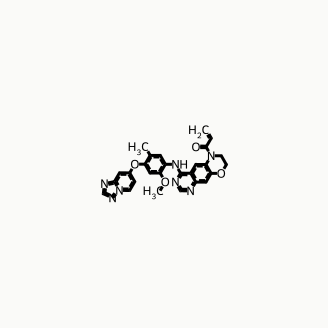 C=CC(=O)N1CCOc2cc3ncnc(Nc4cc(C)c(Oc5ccn6ncnc6c5)cc4OC)c3cc21